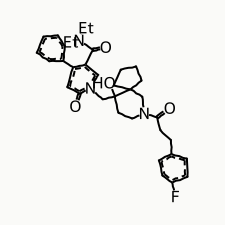 CCN(CC)C(=O)c1cn(CC2(O)CCN(C(=O)CCc3ccc(F)cc3)CC23CCCC3)c(=O)cc1-c1ccccc1